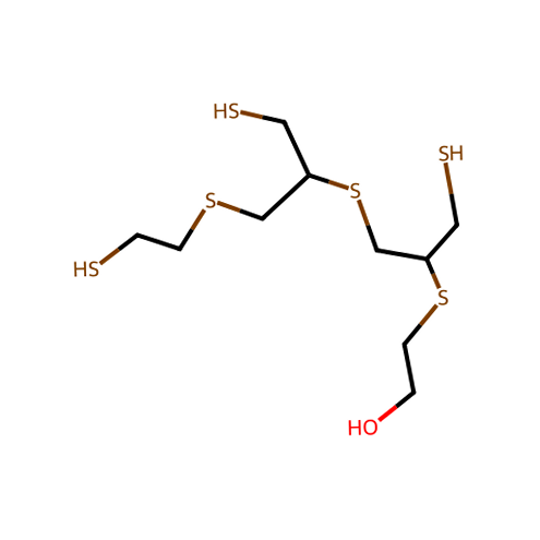 OCCSC(CS)CSC(CS)CSCCS